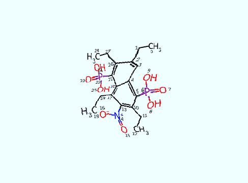 CCc1cc2c(P(=O)(O)O)c(CC)c([N+](=O)[O-])c(CC)c2c(P(=O)(O)O)c1CC